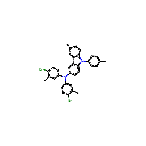 Cc1ccc(-n2c3ccc(C)cc3c3cc(N(c4ccc(Br)c(C)c4)c4ccc(Br)c(C)c4)ccc32)cc1